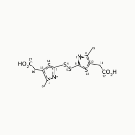 Cc1nc(SSc2nc(C)c(CC(=O)O)s2)sc1CC(=O)O